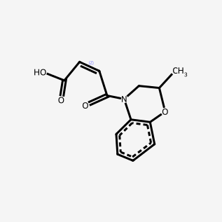 CC1CN(C(=O)/C=C\C(=O)O)c2ccccc2O1